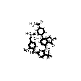 COc1cc(CP(=O)(O)O)ccc1Nc1ncc(C(F)(F)F)c(Nc2ccc([C@H]3CC[C@@H](C(N)=O)CC3)c3c2C(=O)N(C)C3)n1